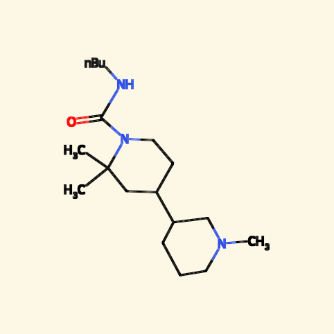 CCCCNC(=O)N1CCC(C2CCCN(C)C2)CC1(C)C